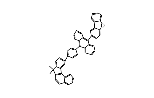 CC1(C)c2ccc(-c3ccc(-c4c5ccccc5c(-c5ccc6oc7ccccc7c6c5)c5ccccc45)cc3)cc2-c2c1ccc1ccccc21